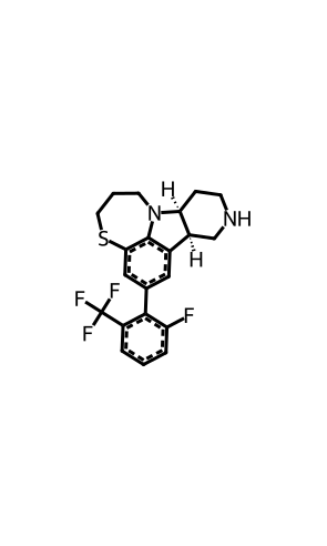 Fc1cccc(C(F)(F)F)c1-c1cc2c3c(c1)[C@@H]1CNCC[C@@H]1N3CCCS2